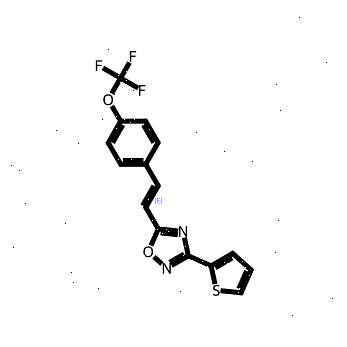 FC(F)(F)Oc1ccc(/C=C/c2nc(-c3cccs3)no2)cc1